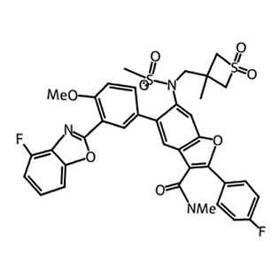 CNC(=O)c1c(-c2ccc(F)cc2)oc2cc(N(CC3(C)CS(=O)(=O)C3)S(C)(=O)=O)c(-c3ccc(OC)c(-c4nc5c(F)cccc5o4)c3)cc12